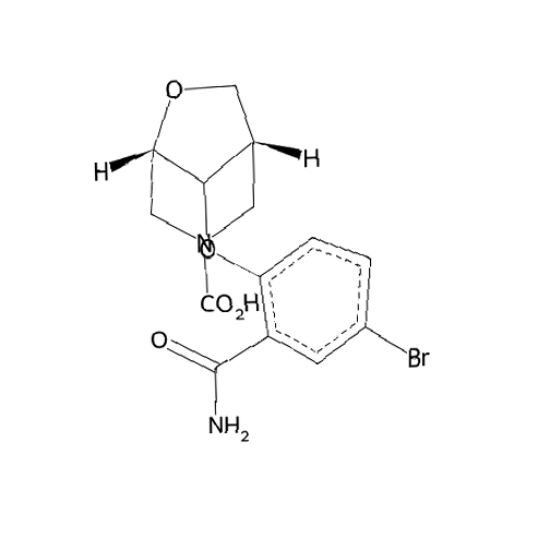 NC(=O)c1cc(Br)ccc1OC1[C@@H]2CO[C@H]1CN(C(=O)O)C2